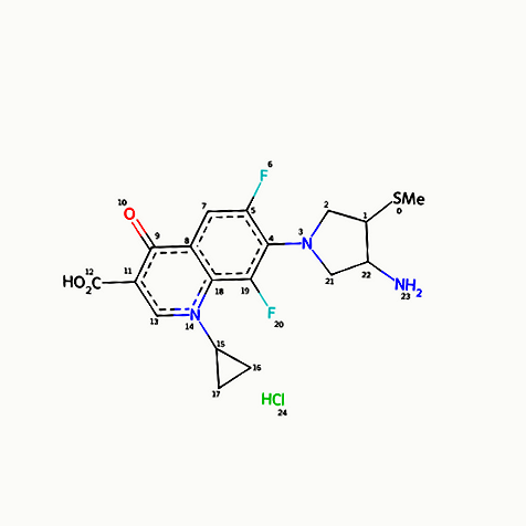 CSC1CN(c2c(F)cc3c(=O)c(C(=O)O)cn(C4CC4)c3c2F)CC1N.Cl